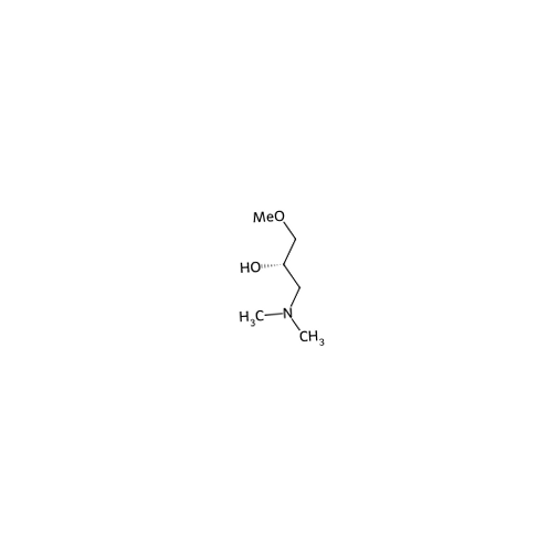 COC[C@@H](O)CN(C)C